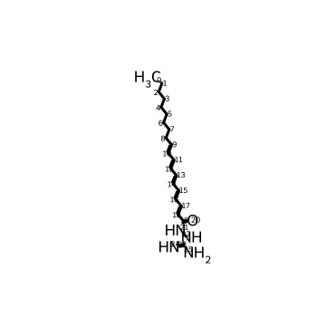 CCCCCCCCCC=CC=CC=CC=CC=CC(=O)NNC(=N)N